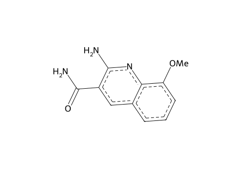 COc1cccc2cc(C(N)=O)c(N)nc12